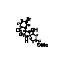 COC[C@H]1CC[C@]2(CC1)NC(=O)C(c1cc(Br)ccc1Cl)=C2O